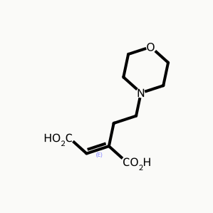 O=C(O)/C=C(\CCN1CCOCC1)C(=O)O